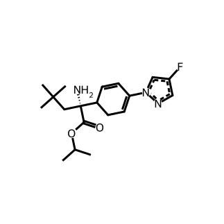 CC(C)OC(=O)[C@@](N)(CC(C)(C)C)C1C=CC(n2cc(F)cn2)=CC1